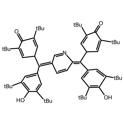 CC(C)(C)C1=CC(C(c2cc(C(C)(C)C)c(O)c(C(C)(C)C)c2)=c2ccc(=C(c3cc(C(C)(C)C)c(O)c(C(C)(C)C)c3)C3C=C(C(C)(C)C)C(=O)C(C(C)(C)C)=C3)nc2)C=C(C(C)(C)C)C1=O